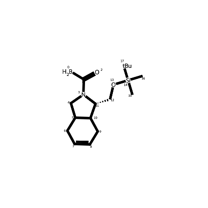 BC(=O)N1CC2CC=CCC2[C@H]1CO[Si](C)(C)C(C)(C)C